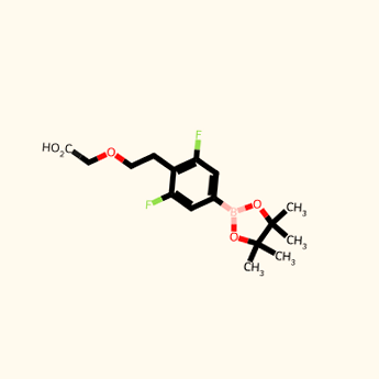 CC1(C)OB(c2cc(F)c(CCOCC(=O)O)c(F)c2)OC1(C)C